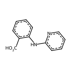 O=C(O)c1ccccc1Nc1ccccn1